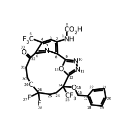 O=C(O)Nc1cc(C(F)(F)F)c2nc1-c1nnc(o1)C(OCc1ccccc1)(C(F)(F)F)CCC(F)(F)CCCC2=O